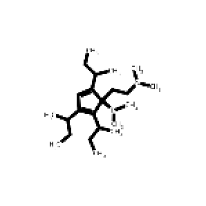 CCC(C)C1=CC(C(C)CC)=C(C(C)CC)[C]1(CCN(C)C)[Ti]([CH3])[CH3]